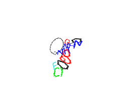 O=C(Cc1ccccn1)NC1CCCCCCCCCC2CC(NC(=O)COc3ccc(Cl)c(F)c3)(C2)C1